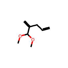 C=CCC(=C)C(OC)OC